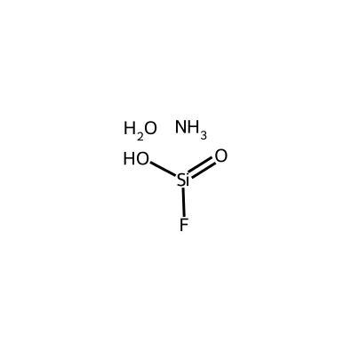 N.O.O=[Si](O)F